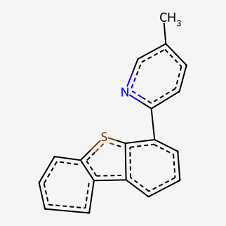 Cc1ccc(-c2cccc3c2sc2ccccc23)nc1